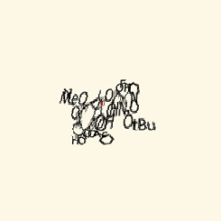 CO[C@@H]1C2=C(C)[C@@H](OC(=O)[C@H](O)[C@@H](NC(=O)OC(C)(C)C)c3ncccc3F)C[C@@](O)([C@@H](OC(=O)c3ccccc3)C3[C@@](C)(CC[C@H]4OC[C@@]34OC(C)=O)[C@@H]1OCCN(C)C)C2(C)C